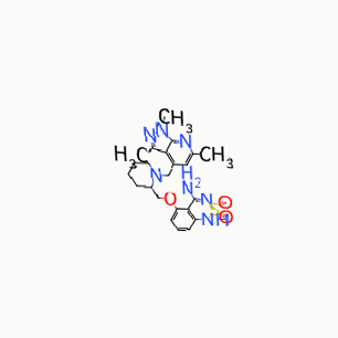 Cc1cc(CN2CCCC[C@@H]2COc2cccc3c2C(N)=NS(=O)(=O)N3)c2c(C)nn(C)c2n1